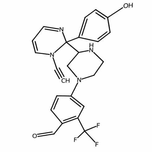 C#CN1C=CC=NC1(c1ccc(O)cc1)C1CN(c2ccc(C=O)c(C(F)(F)F)c2)CCN1